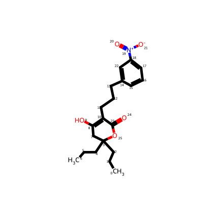 CCCC1(CCC)CC(O)=C(CCCc2cccc([N+](=O)[O-])c2)C(=O)O1